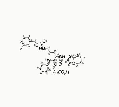 Cc1cccc(COC(=O)NCCC[C@H](NC(=O)c2cc3ccccc3s2)C(=O)Nc2ccccc2CCC(=O)O)c1